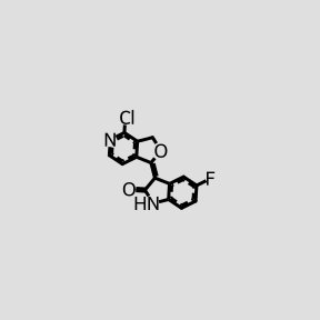 O=C1Nc2ccc(F)cc2C1=C1OCc2c1ccnc2Cl